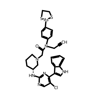 C#CCN(C(=O)CN1CCC[C@@H](Nc2ncc(Cl)c(-c3c[nH]c4ccccc34)n2)C1)c1ccc([As]2SCCS2)cc1